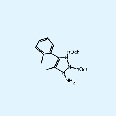 CCCCCCCCN1C(c2ccccc2C)=C(C)N(N)N1CCCCCCCC